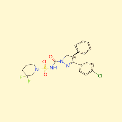 O=C(NS(=O)(=O)N1CCCC(F)(F)C1)N1C[C@@H](c2ccccc2)C(c2ccc(Cl)cc2)=N1